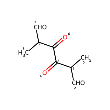 CC(C=O)C(=O)C(=O)C(C)C=O